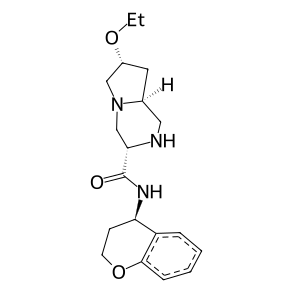 CCO[C@@H]1C[C@H]2CN[C@H](C(=O)N[C@@H]3CCOc4ccccc43)CN2C1